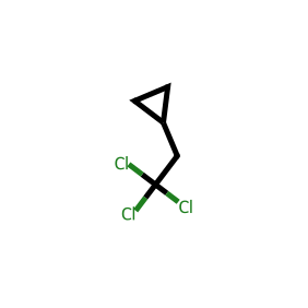 ClC(Cl)(Cl)CC1CC1